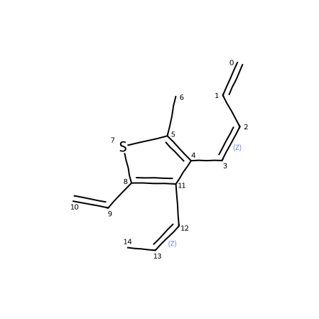 C=C/C=C\c1c(C)sc(C=C)c1/C=C\C